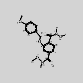 COc1ccc(COc2cc(C(=O)N(C)OC)ccc2C(=O)N(C)OC)cc1